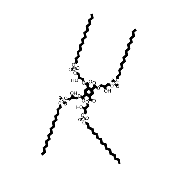 CCCCCCCCCCCCCCCCOS(=O)(=O)OCC(O)COC(=O)c1cc(C(=O)OCC(O)COS(=O)(=O)OCCCCCCCCCCCCCCCC)c(C(=O)OCC(O)COS(=O)(=O)OCCCCCCCCCCCCCCCC)cc1C(=O)OCC(O)COS(=O)(=O)OCCCCCCCCCCCCCCCC